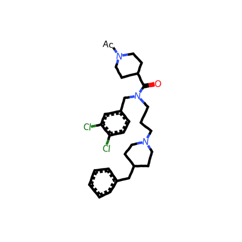 CC(=O)N1CCC(C(=O)N(CCCN2CCC(Cc3ccccc3)CC2)Cc2ccc(Cl)c(Cl)c2)CC1